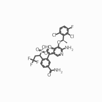 C[C@@H](Oc1c(N)ncc2c(-c3cc(C(N)=O)ccc3C(CC(F)(F)F)S(=O)(=O)O)coc12)c1c(Cl)ccc(F)c1Cl